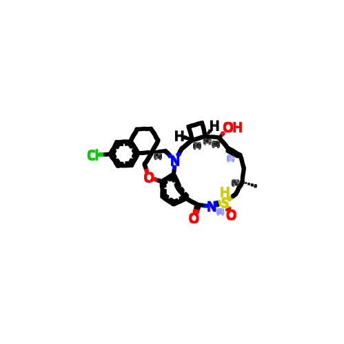 C[C@H]1C/C=C/[C@H](O)[C@@H]2CC[C@H]2CN2C[C@@]3(CCCc4cc(Cl)ccc43)COc3ccc(cc32)C(=O)/N=[SH](=O)\C1